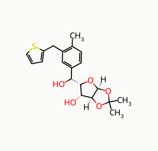 Cc1ccc(C(O)[C@@H]2O[C@H]3OC(C)(C)O[C@H]3[C@@H]2O)cc1Cc1cccs1